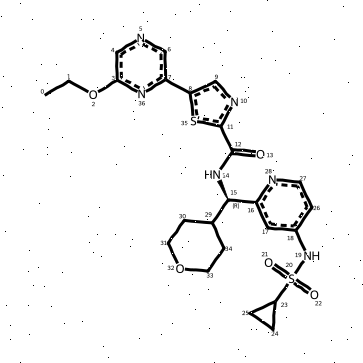 CCOc1cncc(-c2cnc(C(=O)N[C@@H](c3cc(NS(=O)(=O)C4CC4)ccn3)C3CCOCC3)s2)n1